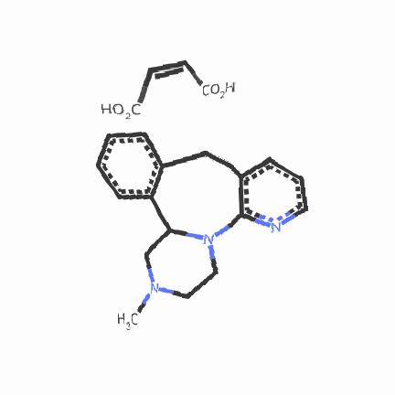 CN1CCN2c3ncccc3Cc3ccccc3C2C1.O=C(O)/C=C\C(=O)O